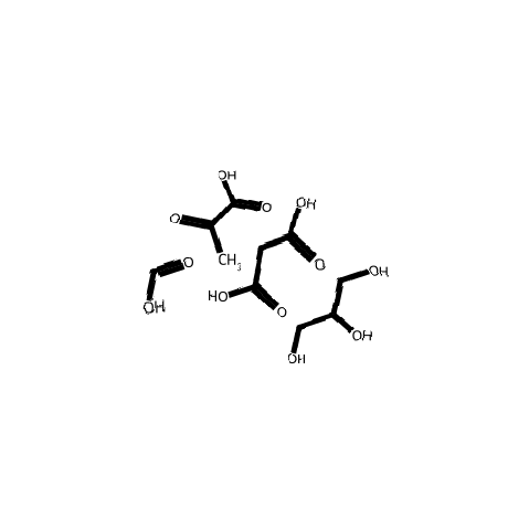 CC(=O)C(=O)O.O=C(O)CC(=O)O.O=CO.OCC(O)CO